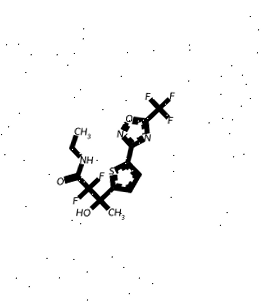 CCNC(=O)C(F)(F)C(C)(O)c1ccc(-c2noc(C(F)(F)F)n2)s1